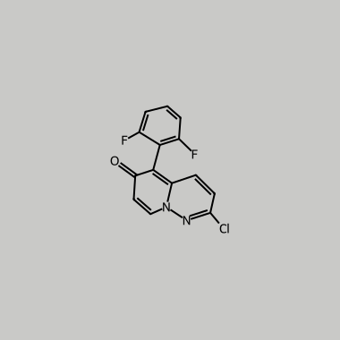 O=c1ccn2nc(Cl)ccc2c1-c1c(F)cccc1F